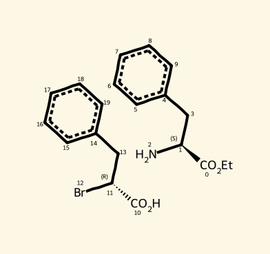 CCOC(=O)[C@@H](N)Cc1ccccc1.O=C(O)[C@H](Br)Cc1ccccc1